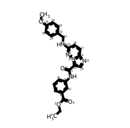 CCOC(=O)c1cccc(NC(=O)c2cnc3ccc(NCc4ccc(OC)cc4)nn23)c1